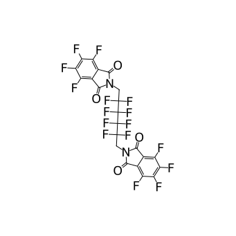 O=C1c2c(F)c(F)c(F)c(F)c2C(=O)N1CC(F)(F)C(F)(F)C(F)(F)C(F)(F)CN1C(=O)c2c(F)c(F)c(F)c(F)c2C1=O